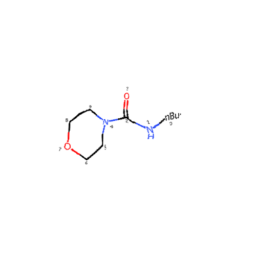 CCC[CH]NC(=O)N1CCOCC1